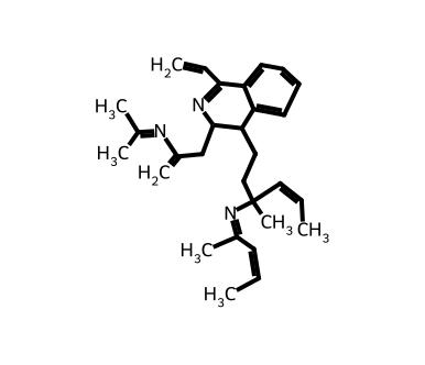 C=CC1=NC(CC(=C)N=C(C)C)C(CCC(C)(/C=C\C)/N=C(C)\C=C/C)c2ccccc21